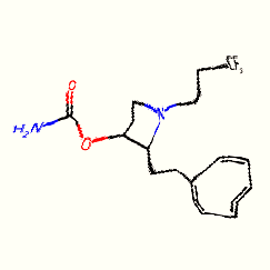 NC(=O)OC1CN(CCC(F)(F)F)C1Cc1ccccc1